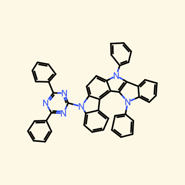 c1ccc(-c2nc(-c3ccccc3)nc(-n3c4ccccc4c4c5c(ccc43)n(-c3ccccc3)c3c4ccccc4n(-c4ccccc4)c53)n2)cc1